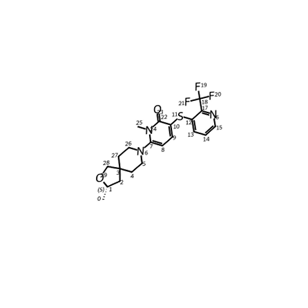 C[C@H]1CC2(CCN(c3ccc(Sc4cccnc4C(F)(F)F)c(=O)n3C)CC2)CO1